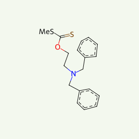 CSC(=S)OCCN(Cc1ccccc1)Cc1ccccc1